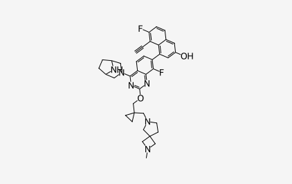 C#Cc1c(F)ccc2cc(O)cc(-c3ccc4c(N5CC6CCC(C5)N6)nc(OCC5(CN6CCC7(CN(C)C7)C6)CC5)nc4c3F)c12